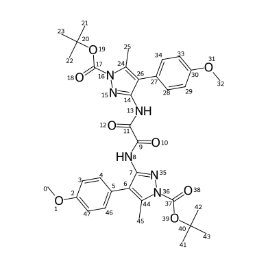 COc1ccc(-c2c(NC(=O)C(=O)Nc3nn(C(=O)OC(C)(C)C)c(C)c3-c3ccc(OC)cc3)nn(C(=O)OC(C)(C)C)c2C)cc1